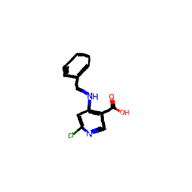 O=C(O)c1cnc(Cl)cc1NCc1ccccc1